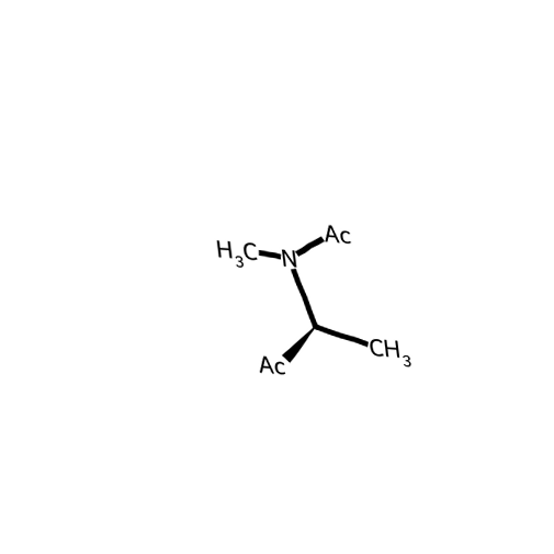 CC(=O)[C@H](C)N(C)C(C)=O